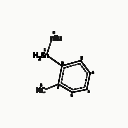 CCC[CH2][SnH2][c]1ccccc1C#N